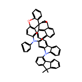 CC1(C)c2ccccc2-c2c(-n3c4ccccc4c4ccc(N(c5ccccc5)c5ccc6c(c5)C5(c7ccccc7O6)c6ccccc6-c6cccc7cccc5c67)cc43)cccc21